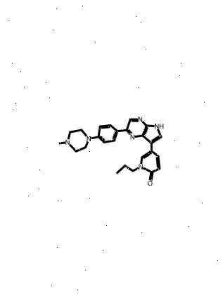 CCCn1cc(-c2c[nH]c3ncc(-c4ccc(N5CCN(C)CC5)cc4)nc23)ccc1=O